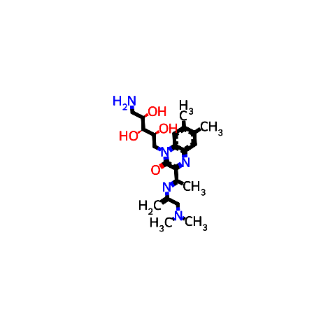 C=C(CN(C)C)/N=C(\C)c1nc2cc(C)c(C)cc2n(C[C@H](O)[C@H](O)[C@H](O)CN)c1=O